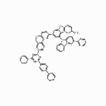 CC1C=Cc2oc3cc(-c4ccc5c(c4)-c4ccc(-c6nc(C7=CC=CCC7)nc(-c7ccc(-c8ccccc8)cc7)n6)cc4CO5)cc(-n4c5ccccc5c5cc(-c6ccccc6)ccc54)c3c2C1